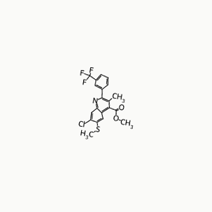 COC(=O)c1c(C)c(-c2cccc(C(F)(F)F)c2)nc2cc(Cl)c(SC)cc12